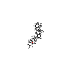 CC12CC3CC(C)(C1)CC(CC(=O)Nc1cccc4c(=O)n(Cc5c(F)cccc5F)ccc14)(C3)C2